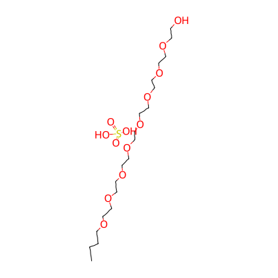 CCCCOCCOCCOCCOCCOCCOCCOCCOCCO.O=S(=O)(O)O